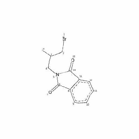 CC(CBr)CN1C(=O)c2ccccc2C1=O